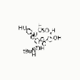 CC(C)(C)NCC(O)c1cc(OC(=O)c2ccc(O)cc2)cc(OC(=O)c2ccc(O)cc2)c1.O=S(=O)(O)O